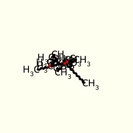 CCCCCCCCCCC(COP(=S)(OCC(CCCCCCCCCC)SP(=S)(OC(C)C)OC(C)C)SCCC(C)=O)SP(=S)(OC(C)C)OC(C)C